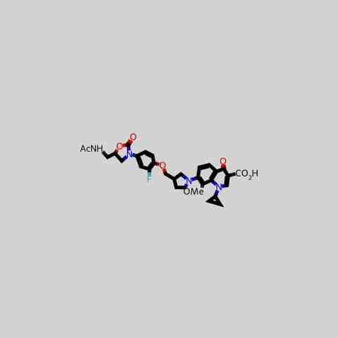 COc1c(N2CCC(COc3ccc(N4CC(CNC(C)=O)OC4=O)cc3F)C2)ccc2c(=O)c(C(=O)O)cn(C3CC3)c12